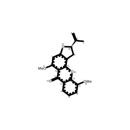 C=C(C)[C@H]1Cc2c(cc(OC)c3c(=O)c4cccc(OC)c4oc23)O1